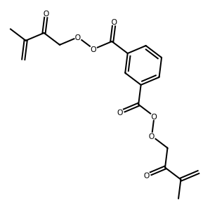 C=C(C)C(=O)COOC(=O)c1cccc(C(=O)OOCC(=O)C(=C)C)c1